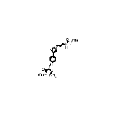 CC(C)(C)OC(=O)NCCCn1cnc(-c2ccc(OC[C@H](ON)C(=O)OC(C)(C)C)cc2)c1